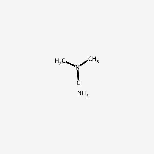 CN(C)Cl.N